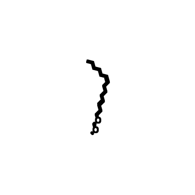 CCCCC/C=C\CCC/C=C/CCOCOC